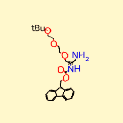 CC(C)(C)OCCOCCOC[C@@H](CN)NC(=O)OCC1c2ccccc2-c2ccccc21